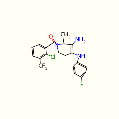 CC1C(N)=C(Nc2ccc(F)cc2)CCN1C(=O)c1cccc(C(F)(F)F)c1Cl